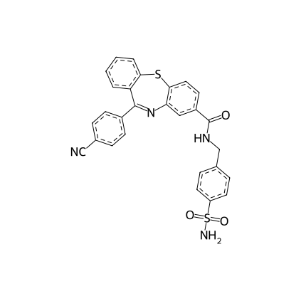 N#Cc1ccc(C2=Nc3cc(C(=O)NCc4ccc(S(N)(=O)=O)cc4)ccc3Sc3ccccc32)cc1